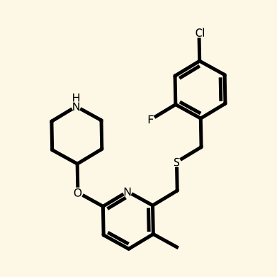 Cc1ccc(OC2CCNCC2)nc1CSCc1ccc(Cl)cc1F